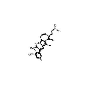 CCN(CC)CCN1CCCc2[nH]c(/C=C3\C(=O)Nc4c(Br)cc(F)cc43)c(C)c2C1=O